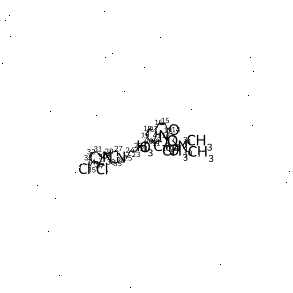 CCN(CC)C(=O)OC(C(C)C)n1c(=O)ccc2ccc(OCCCCN3CCN(c4cccc(Cl)c4Cl)CC3)cc21